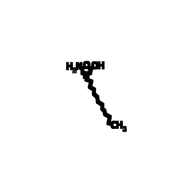 CCCCCCCCCCCCCCN(CCN)CC(=O)O